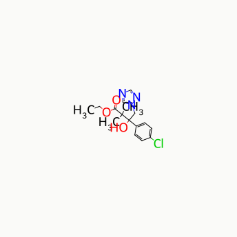 CCOC(=O)C(C)(C)C(O)(Cn1cncn1)c1ccc(Cl)cc1